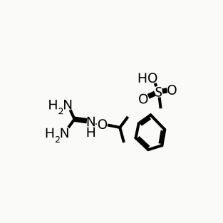 CC(C)[O].CS(=O)(=O)O.N=C(N)N.c1ccccc1